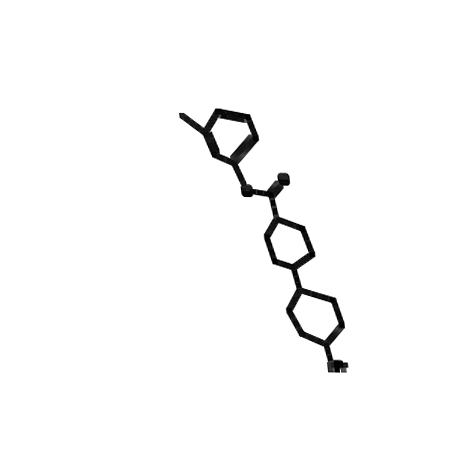 CCCC1CCC(C2CCC(C(=O)Oc3cccc(C)c3)CC2)CC1